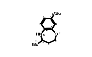 CC(C)(C)c1ccc2c(c1)OCCC(C(C)(C)C)N2